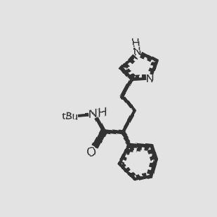 CC(C)(C)NC(=O)C(CCc1c[nH]cn1)c1ccccc1